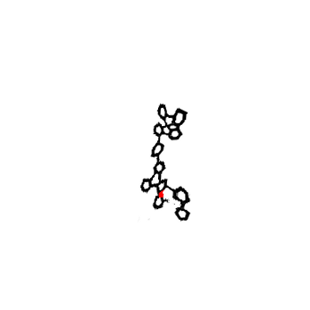 Cc1cccc(-n2c3ccccc3c3cccc(-c4ccc5c6ccccc6c6cc(-c7ccc(-c8cccc9c8-c8ccccc8C98c9ccccc9-c9ccccc98)cc7)ccc6c5c4)c32)c1